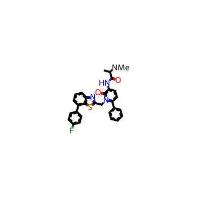 CNC(C)C(=O)Nc1ccc(-c2ccccc2)n(Cc2nc3cccc(-c4ccc(F)cc4)c3s2)c1=O